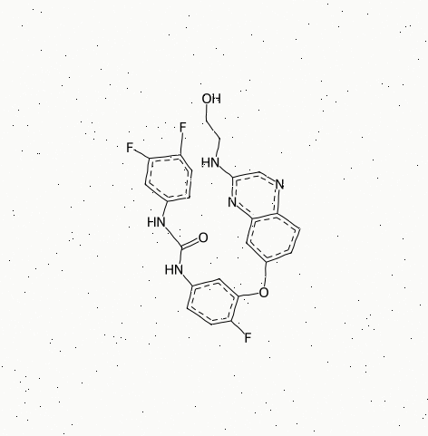 O=C(Nc1ccc(F)c(F)c1)Nc1ccc(F)c(Oc2ccc3ncc(NCCO)nc3c2)c1